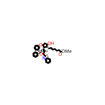 COC(=O)CCCC=CC[C@H]1[C@@H](O)CC(=O)[C@@H]1C=CC(O[Si](c1ccccc1)(c1ccccc1)C(C)(C)C)c1nc2ccccc2s1